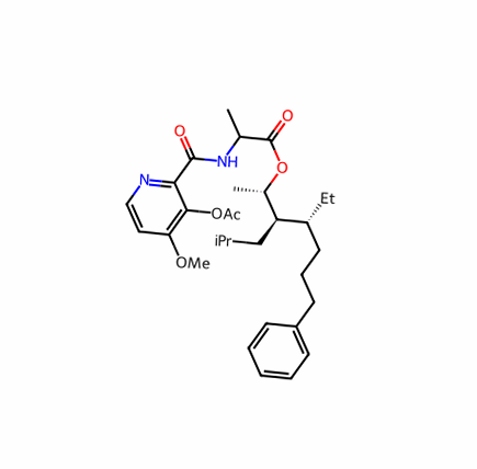 CC[C@H](CCCc1ccccc1)[C@@H](CC(C)C)[C@H](C)OC(=O)C(C)NC(=O)c1nccc(OC)c1OC(C)=O